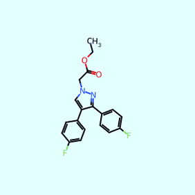 CCOC(=O)Cn1cc(-c2ccc(F)cc2)c(-c2ccc(F)cc2)n1